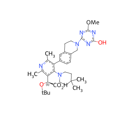 COc1nc(O)nc(N2CCc3cc(-c4c(C)nc(C)c([C@H](OC(C)(C)C)C(=O)O)c4N4CCC(C)(C)CC4)ccc3C2)n1